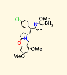 Bc1ccc(/C(=C/[C@H]2CCC(=O)N2Cc2ccc(OC)cc2OC)c2ccc(Cl)cc2)nc1OC